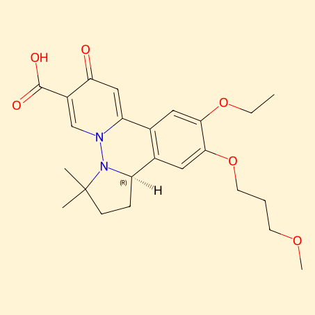 CCOc1cc2c(cc1OCCCOC)[C@H]1CCC(C)(C)N1n1cc(C(=O)O)c(=O)cc1-2